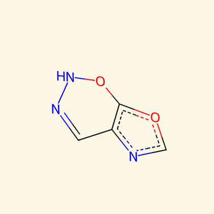 C1=NNOc2ocnc21